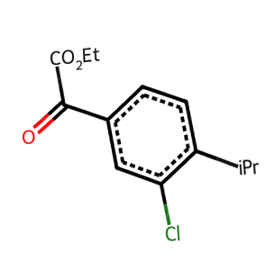 CCOC(=O)C(=O)c1ccc(C(C)C)c(Cl)c1